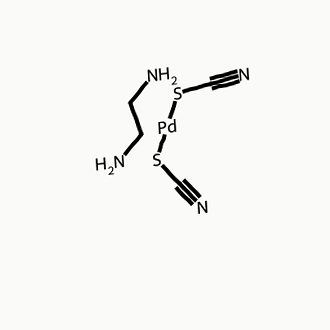 N#C[S][Pd][S]C#N.NCCN